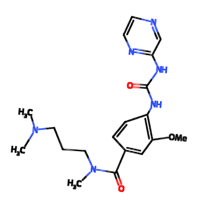 COc1cc(C(=O)N(C)CCCN(C)C)ccc1NC(=O)Nc1cnccn1